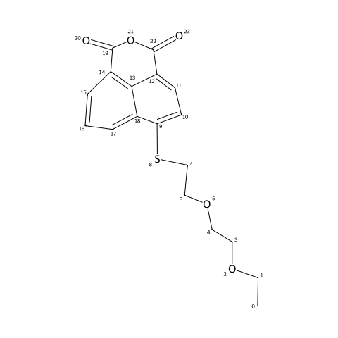 CCOCCOCCSc1ccc2c3c(cccc13)C(=O)OC2=O